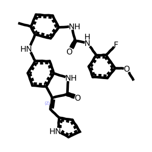 COc1cccc(NC(=O)Nc2ccc(C)c(Nc3ccc4c(c3)NC(=O)/C4=C\c3ccc[nH]3)c2)c1F